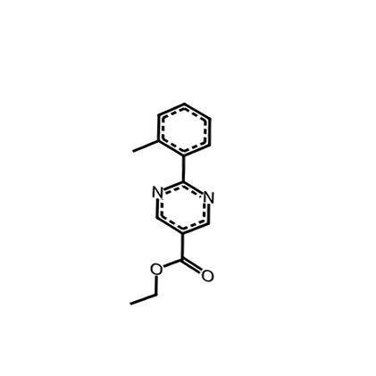 CCOC(=O)c1cnc(-c2ccccc2C)nc1